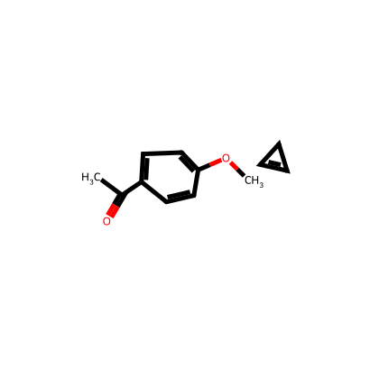 C1=CC1.COc1ccc(C(C)=O)cc1